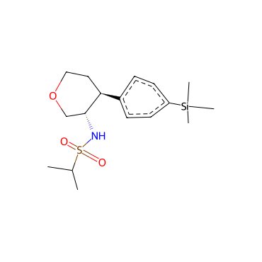 CC(C)S(=O)(=O)N[C@@H]1COCC[C@H]1c1ccc([Si](C)(C)C)cc1